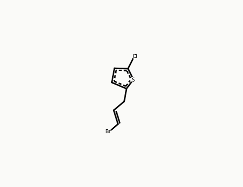 Clc1ccc(CC=CBr)s1